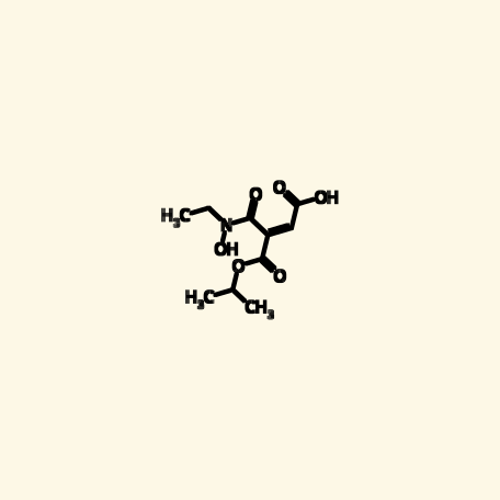 CCN(O)C(=O)/C(=C\C(=O)O)C(=O)OC(C)C